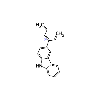 C=C/C=C(\C=C)c1ccc2[nH]c3ccccc3c2c1